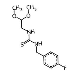 COC(CNC(=S)NCc1ccc(F)cc1)OC